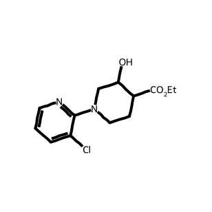 CCOC(=O)C1CCN(c2ncccc2Cl)CC1O